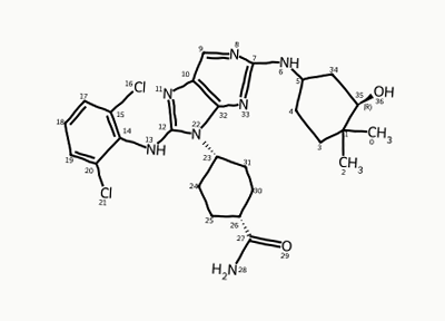 CC1(C)CCC(Nc2ncc3nc(Nc4c(Cl)cccc4Cl)n([C@H]4CC[C@@H](C(N)=O)CC4)c3n2)C[C@H]1O